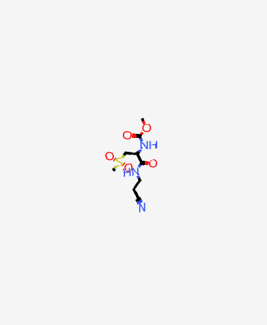 COC(=O)NC(CS(C)(=O)=O)C(=O)NCCC#N